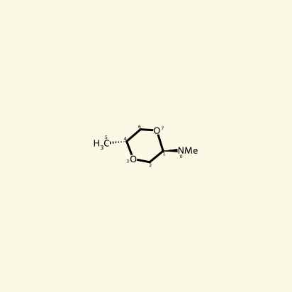 CN[C@H]1CO[C@H](C)CO1